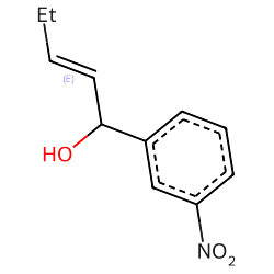 CC/C=C/C(O)c1cccc([N+](=O)[O-])c1